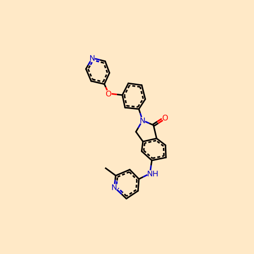 Cc1cc(Nc2ccc3c(c2)CN(c2cccc(Oc4ccncc4)c2)C3=O)ccn1